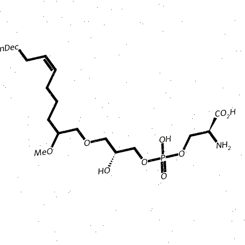 CCCCCCCCCCC/C=C\CCCC(COC[C@@H](O)COP(=O)(O)OC[C@H](N)C(=O)O)OC